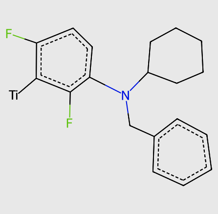 Fc1ccc(N(Cc2ccccc2)C2CCCCC2)c(F)[c]1[Ti]